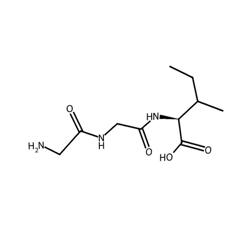 CCC(C)[C@H](NC(=O)CNC(=O)CN)C(=O)O